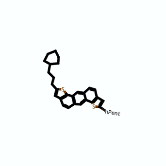 CCCCCc1cc2ccc3cc4c(ccc5cc(CCCC6CCCCC6)sc54)cc3c2s1